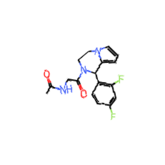 CC(=O)NCC(=O)N1CCn2cccc2C1c1ccc(F)cc1F